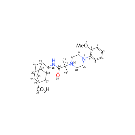 COc1ccccc1N1CCN(C(C)(C)C(=O)NC2C3CC4CC2CC(C(=O)O)(C4)C3)CC1